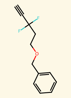 C#CC(F)(F)CCOCc1ccccc1